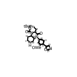 COc1cc(NC(=O)C(CC(C)C)N(C(=O)OC(C)(C)C)C2CCNCC2)ccc1-c1cnco1